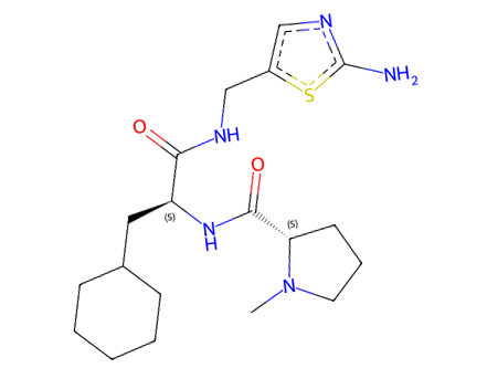 CN1CCC[C@H]1C(=O)N[C@@H](CC1CCCCC1)C(=O)NCc1cnc(N)s1